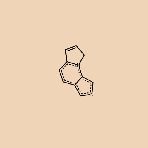 C1=Cc2ccc3cncc-3n2C1